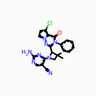 CC1(C)CN(c2nc(N)ncc2C#N)C1c1nn2ccc(Cl)c2c(=O)n1-c1ccccc1